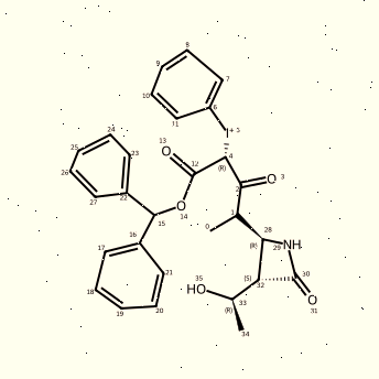 CC(C(=O)[C@@H]([I+]c1ccccc1)C(=O)OC(c1ccccc1)c1ccccc1)[C@H]1NC(=O)[C@@H]1[C@@H](C)O